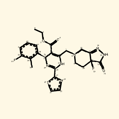 CCOC(=O)C1=C(CN2CCC3(F)C(=O)NN=C3C2)NC(c2nccs2)=N[C@H]1c1cccc(F)c1C